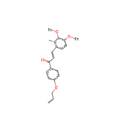 C=CCOc1ccc(C(=O)C=Cc2ccc(OCC)c(OCC)c2C)cc1